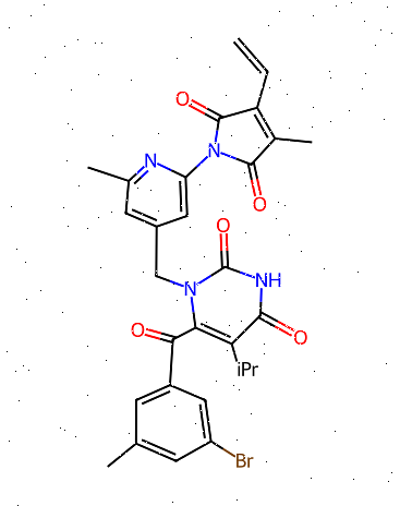 C=CC1=C(C)C(=O)N(c2cc(Cn3c(C(=O)c4cc(C)cc(Br)c4)c(C(C)C)c(=O)[nH]c3=O)cc(C)n2)C1=O